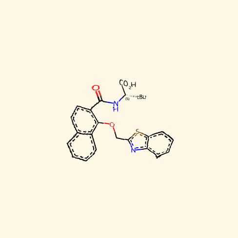 CC(C)(C)[C@H](NC(=O)c1ccc2ccccc2c1OCc1nc2ccccc2s1)C(=O)O